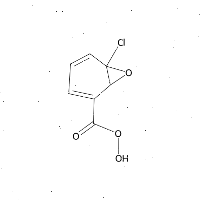 O=C(OO)C1=CC=CC2(Cl)OC12